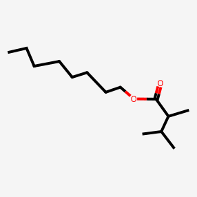 CCCCCCCCOC(=O)C(C)C(C)C